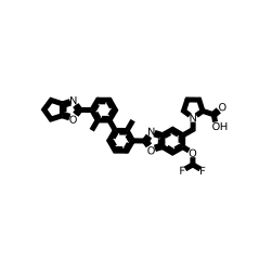 Cc1c(-c2nc3c(o2)CCC3)cccc1-c1cccc(-c2nc3cc(CN4CCCC4C(=O)O)c(OC(F)F)cc3o2)c1C